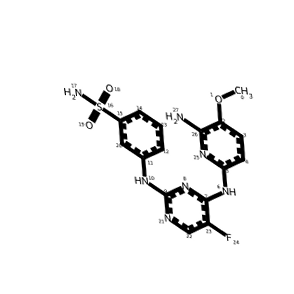 COc1ccc(Nc2nc(Nc3cccc(S(N)(=O)=O)c3)ncc2F)nc1N